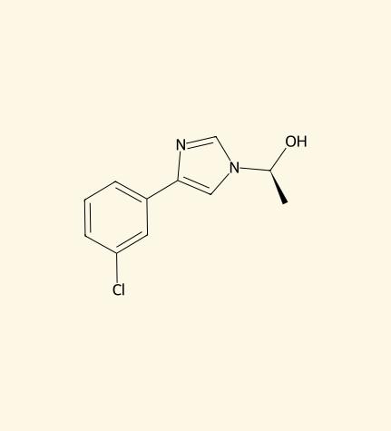 C[C@H](O)n1cnc(-c2cccc(Cl)c2)c1